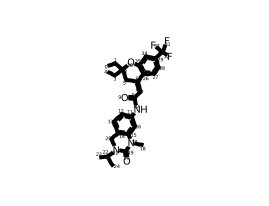 CCC1(CC)C/C(=C\C(=O)Nc2ccc3c(c2)N(C)C(=O)N(C(C)C)C3)c2ccc(C(F)(F)F)cc2O1